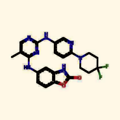 Cc1cnc(Nc2ccc(N3CCC(F)(F)CC3)nc2)nc1Nc1ccc2oc(=O)[nH]c2c1